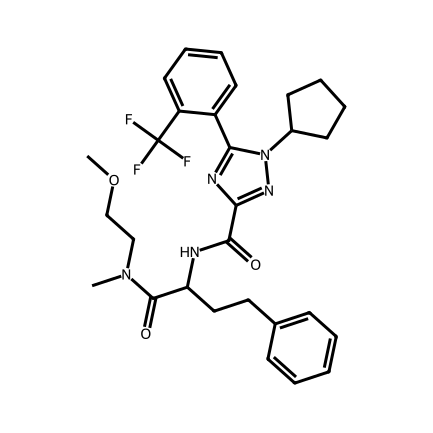 COCCN(C)C(=O)C(CCc1ccccc1)NC(=O)c1nc(-c2ccccc2C(F)(F)F)n(C2CCCC2)n1